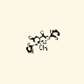 O=C(CC(C(=O)Oc1nccs1)S(=O)(=O)O)Oc1nccs1